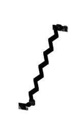 CCCCCCCCCCCCCCCCCCOC#N